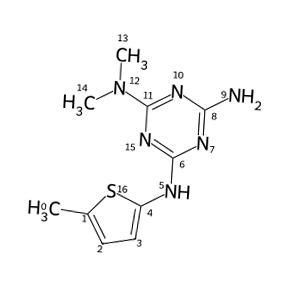 Cc1ccc(Nc2nc(N)nc(N(C)C)n2)s1